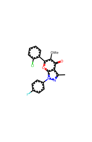 COc1c(-c2ccccc2Cl)oc2c(c(C)nn2-c2ccc(F)cc2)c1=O